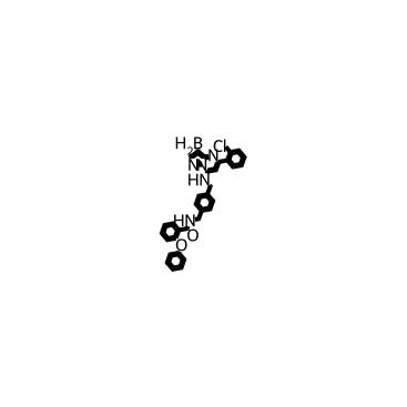 Bc1cnn2c(NCc3ccc(CNC(=O)c4ccccc4Oc4ccccc4)cc3)cc(-c3ccccc3Cl)nc12